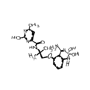 Cc1cc(C(=O)NC(C)(C)COc2cccc3c2C(N)=NS(O)(O)N3)nc(O)n1